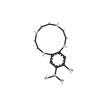 CC(C)N(c1cc2c(cc1C#N)OCCOCCOCCO2)C(C)C